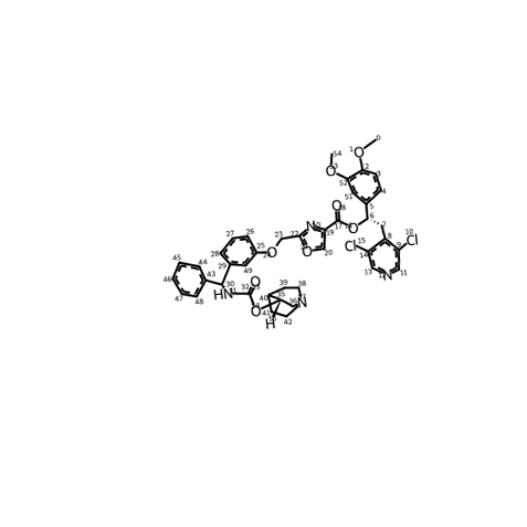 COc1ccc([C@H](Cc2c(Cl)cncc2Cl)OC(=O)c2coc(COc3cccc([C@@H](NC(=O)O[C@H]4CN5CCC4CC5)c4ccccc4)c3)n2)cc1OC